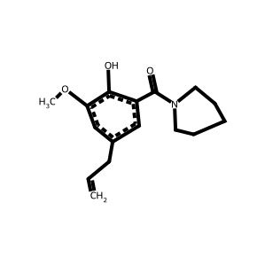 C=CCc1cc(OC)c(O)c(C(=O)N2CCCCC2)c1